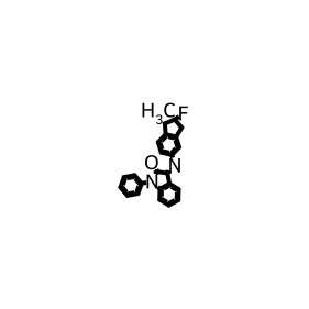 CC1(F)Cc2ccc(N=C3C(=O)N(c4ccccc4)c4ccccc43)cc2C1